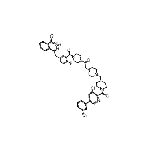 CCc1cccc(-c2cnc(C(=O)N3CCC(CN4CCN(CC(=O)N5CCN(C(=O)c6cc(Cc7n[nH]c(=O)c8ccccc78)ccc6F)CC5)CC4)CC3)c(Cl)c2)c1